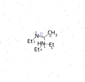 C/C=N/CC.CCNCC